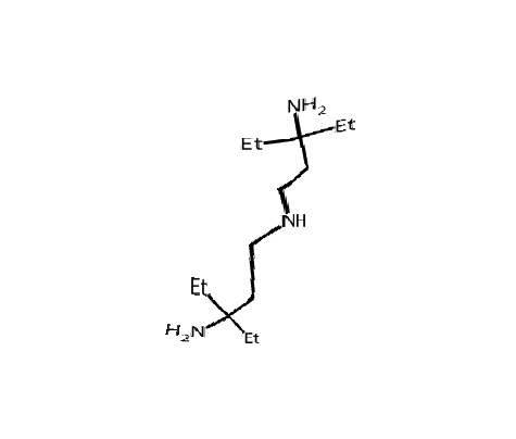 CCC(N)(CC)CCNCCC(N)(CC)CC